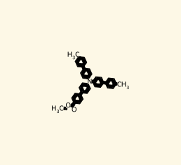 CCOC(=O)c1ccc(-c2ccc(N(c3ccc(-c4ccc(C)cc4)cc3)c3ccc(-c4ccc(C)cc4)cc3)cc2)cc1